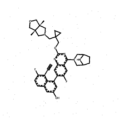 C#Cc1c(F)ccc2cc(O)cc(-c3cc4nc(OCC5(CN6C[C@]7(C)COC[C@]7(C)C6)CC5)nc(N5CC6CCC(C5)N6)c4cc3F)c12